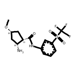 CO[C@H]1C[C@@H](N)[C@@H](C(=O)Nc2cccc(S(=O)(=O)C(F)(F)F)c2)C1